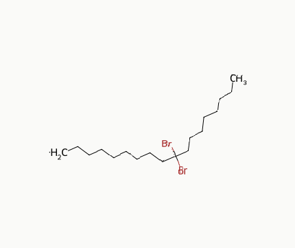 [CH2]CCCCCCCCC(Br)(Br)CCCCCCCC